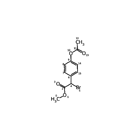 COC(=O)C(Br)c1ccc(OC(C)=O)cc1